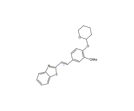 COc1cc(/C=C/c2nc3ccccc3s2)ccc1OC1CCCCO1